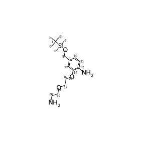 CC(C)(C)[Si](C)(C)OCc1ccc(N)c(OCCOCCN)c1